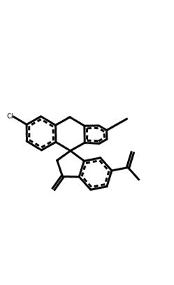 C=C(C)c1ccc2c(c1)C1(CC2=C)c2ccc(C)cc2Cc2cc(Cl)ccc21